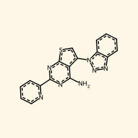 Nc1nc(-c2ccccn2)nc2scc(-n3nnc4ccccc43)c12